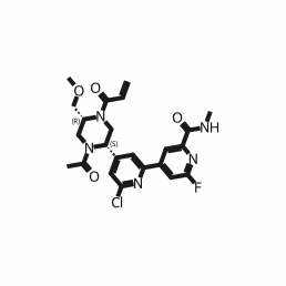 C=CC(=O)N1C[C@H](c2cc(Cl)nc(-c3cc(F)nc(C(=O)NC)c3)c2)N(C(C)=O)C[C@@H]1COC